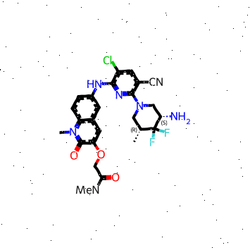 CNC(=O)COc1cc2cc(Nc3nc(N4C[C@@H](C)C(F)(F)[C@@H](N)C4)c(C#N)cc3Cl)ccc2n(C)c1=O